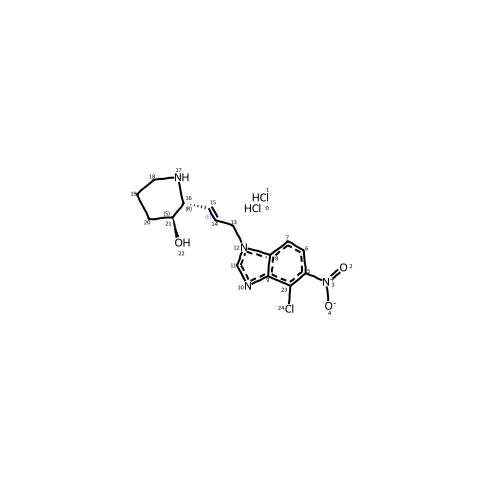 Cl.Cl.O=[N+]([O-])c1ccc2c(ncn2C/C=C/[C@H]2NCCC[C@@H]2O)c1Cl